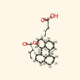 CCCC(=O)O.CCCC(=O)O.c1cc2cccc3c4cccc5cccc(c(c1)c23)c54